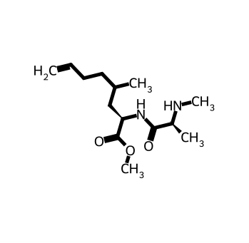 C=CCCC(C)C[C@@H](NC(=O)[C@H](C)NC)C(=O)OC